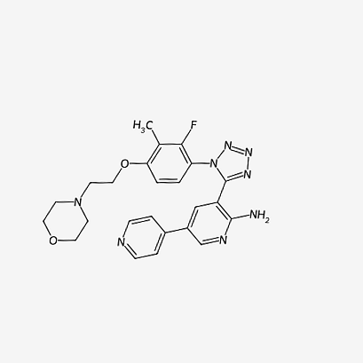 Cc1c(OCCN2CCOCC2)ccc(-n2nnnc2-c2cc(-c3ccncc3)cnc2N)c1F